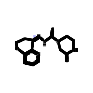 O=C1CN(C(=S)N/N=C2/CCOc3cccnc32)CCN1